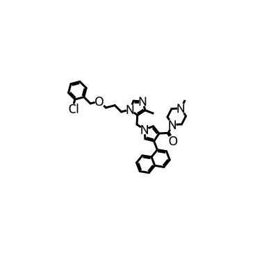 Cc1ncn(CCCOCc2ccccc2Cl)c1Cn1cc(C(=O)N2CCN(C)CC2)c(-c2cccc3ccccc23)c1